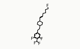 FCCCCC=CC1CCC(CCc2cc(F)c(C(F)F)c(F)c2)CC1